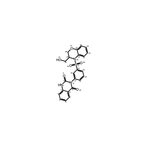 O=c1[nH]c2ccccc2c(=O)n1-c1cccc(S(=O)(=O)N2c3ccccc3OCC2CO)c1